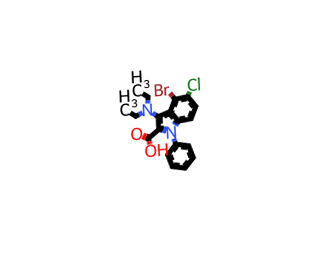 CCN(CC)c1c(C(=O)O)n(-c2ccccc2)c2ccc(Cl)c(Br)c12